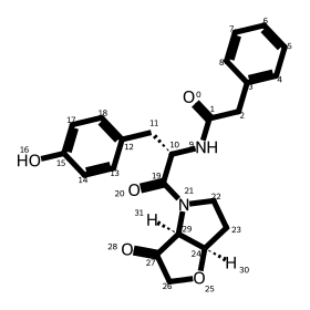 O=C(Cc1ccccc1)N[C@@H](Cc1ccc(O)cc1)C(=O)N1CC[C@H]2OCC(=O)[C@H]21